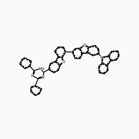 c1ccc(C2=NC(c3ccc4oc5c(-c6ccc7c(c6)oc6ccc(-n8c9ccccc9c9ccccc98)cc67)cccc5c4c3)NC(c3ccccc3)=N2)cc1